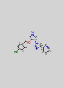 Brc1ccc(CO[C@@H]2CNC[C@H]2n2cc(-c3cccnc3)nn2)cc1